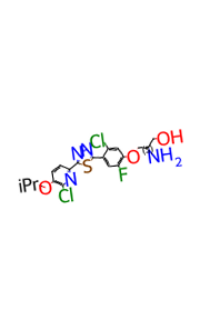 CC(C)Oc1ccc(-c2nnc(-c3cc(F)c(OC[C@@H](N)CO)cc3Cl)s2)nc1Cl